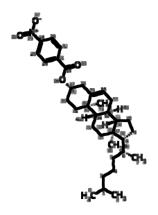 CC(C)CCC[C@@H](C)[C@H]1CC[C@H]2[C@@H]3CC=C4C[C@@H](OC(=O)c5ccc([N+](=O)[O-])cc5)CC[C@]4(C)[C@H]3CC[C@]12C